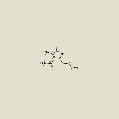 CCCCc1n[nH]c(N)c1C(N)=O